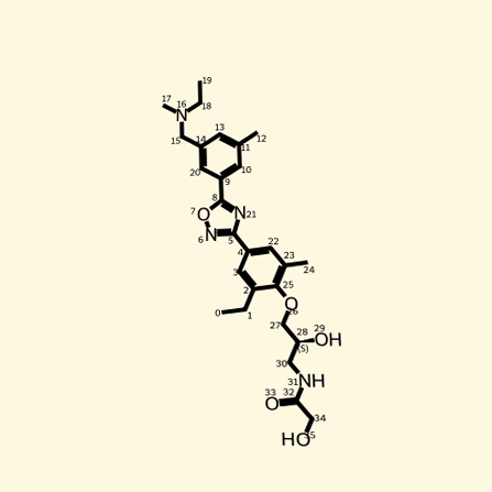 CCc1cc(-c2noc(-c3cc(C)cc(CN(C)CC)c3)n2)cc(C)c1OC[C@@H](O)CNC(=O)CO